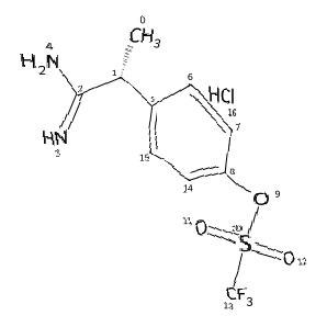 C[C@@H](C(=N)N)c1ccc(OS(=O)(=O)C(F)(F)F)cc1.Cl